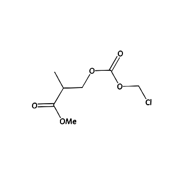 COC(=O)C(C)COC(=O)OCCl